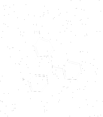 P.[Ir].[Pd].c1ccc(P(c2ccccc2)c2ccccc2)cc1